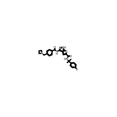 CC(C)(NC(=O)c1cc2c(NC(=O)c3ccc(CN4CCC4)cc3)n[nH]c2s1)c1ccc(F)cc1